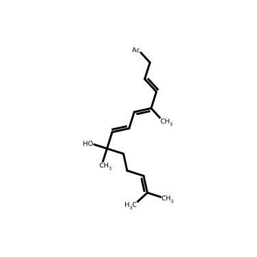 CC(=O)CC=CC(C)=CC=CC(C)(O)CCC=C(C)C